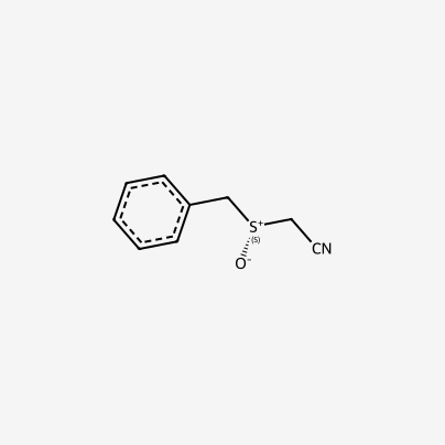 N#CC[S@+]([O-])Cc1ccccc1